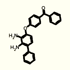 Nc1c(Oc2ccc(C(=O)c3ccccc3)cc2)ccc(-c2ccccc2)c1N